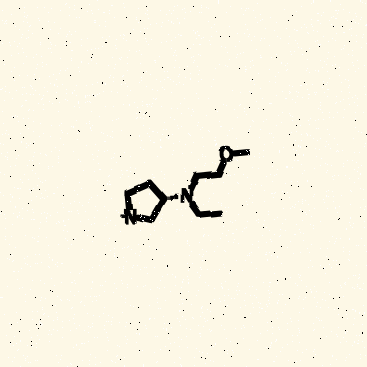 CCN(CCOC)[C@H]1CC[N]C1